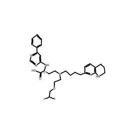 O=C(O)[C@H](CCN(CCCCc1ccc2c(n1)NCCC2)CCOCC(F)F)Nc1cc(-c2ccccc2)ncn1